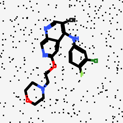 N#Cc1cnc2cnc(OCCN3CCOCC3)cc2c1Nc1ccc(F)c(Cl)c1